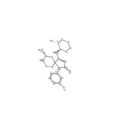 C[C@H]1CC2(CCN1)C(N[C@@H]1CCCC[C@H]1F)=NC(=O)N2c1cccc(F)c1